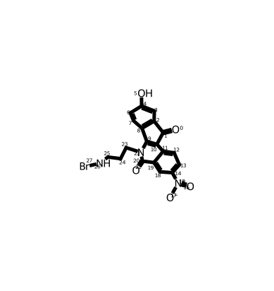 O=C1c2cc(O)ccc2-c2c1c1ccc([N+](=O)[O-])cc1c(=O)n2CCCNBr